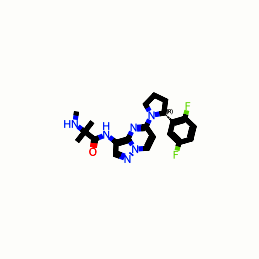 CNC(C)(C)C(=O)Nc1cnn2ccc(N3CCC[C@@H]3c3cc(F)ccc3F)nc12